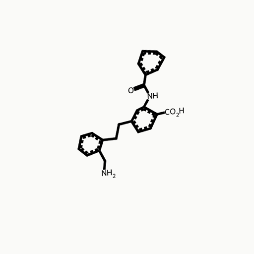 NCc1ccccc1CCc1ccc(C(=O)O)c(NC(=O)c2ccccc2)c1